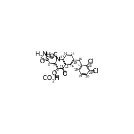 Cn1c(CS(N)(=O)=O)c(OC(=O)O)c(=O)c2cc(Cc3cccc(Cl)c3Cl)ccc21